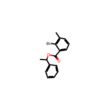 CCC(C)c1c(C)cccc1C(=O)OC(C)c1ccccc1